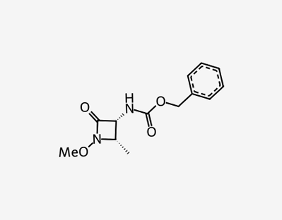 CON1C(=O)[C@H](NC(=O)OCc2ccccc2)[C@@H]1C